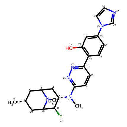 C[C@@H]1CC2C[C@H](N(C)c3ccc(-c4ccc(-n5ccnc5)cc4O)nn3)[C@@H](F)C(C1)N2C